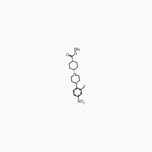 CC(C)(C)OC(=O)[C@H]1CC[C@H](N2CCN(c3ccc([N+](=O)[O-])cc3F)CC2)CC1